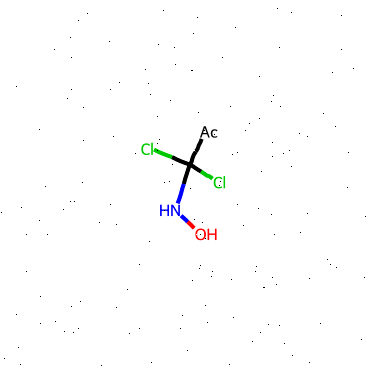 CC(=O)C(Cl)(Cl)NO